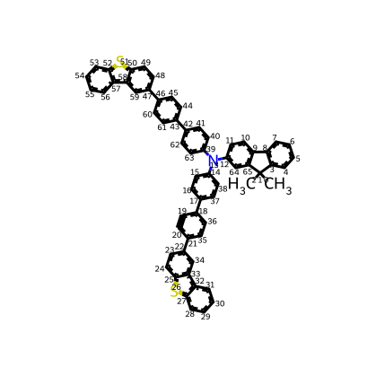 CC1(C)c2ccccc2-c2ccc(N(c3ccc(-c4c#cc(-c5ccc6sc7ccccc7c6c5)cc4)cc3)c3ccc(-c4ccc(-c5ccc6sc7ccccc7c6c5)cc4)cc3)cc21